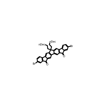 CCCCCCCCCCCCC1(CCCCCCCCCCCC)c2cc3c(cc2-c2cc4c(cc21)-c1ccc(Br)cc1C4=O)C(=O)c1cc(Br)ccc1-3